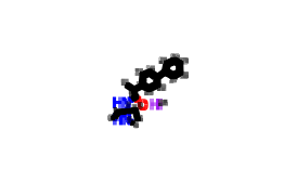 CCC(CC)(NC)NC(=O)C(C)c1ccc(-c2ccccc2)cc1.I